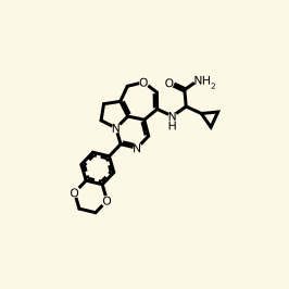 NC(=O)C(NC1=COCC2=C3C1=CN=C(c1ccc4c(c1)OCCO4)N3CC2)C1CC1